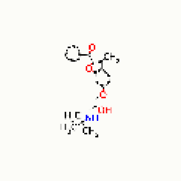 Cc1c(C(=O)c2ccccc2)oc2cc(OCC(O)CNC(C)(C)C)ccc12